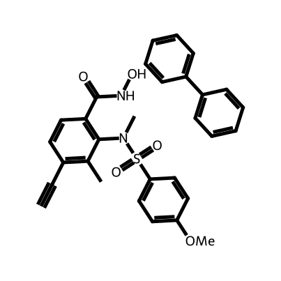 C#Cc1ccc(C(=O)NO)c(N(C)S(=O)(=O)c2ccc(OC)cc2)c1C.c1ccc(-c2ccccc2)cc1